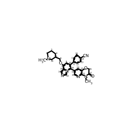 CN1CCCC(COc2cc(-c3ccc(C#N)cc3)c(-c3cnc4c(c3)OCC(=O)N4C)n3cncc23)C1